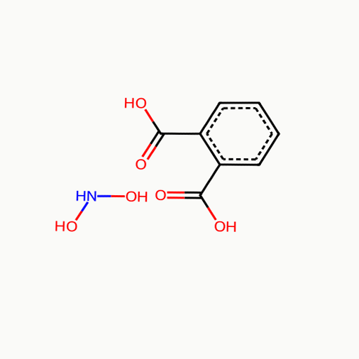 O=C(O)c1ccccc1C(=O)O.ONO